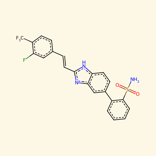 NS(=O)(=O)c1ccccc1-c1ccc2[nH]c(/C=C/c3ccc(C(F)(F)F)c(F)c3)nc2c1